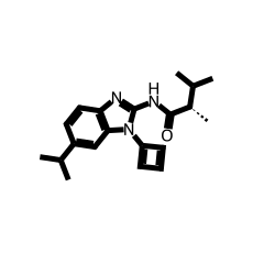 CC(C)c1ccc2nc(NC(=O)[C@@H](C)C(C)C)n(C3=CC=C3)c2c1